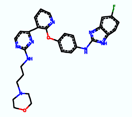 Fc1ccc2[nH]c(Nc3ccc(Oc4ncccc4-c4ccnc(NCCCN5CCOCC5)n4)cc3)nc2c1